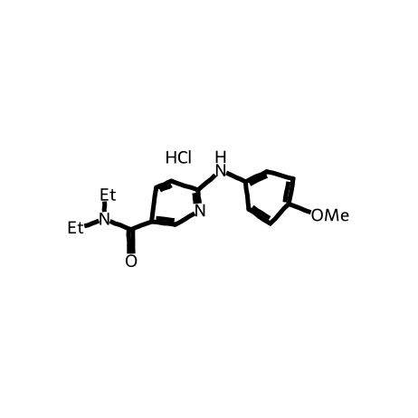 CCN(CC)C(=O)c1ccc(Nc2ccc(OC)cc2)nc1.Cl